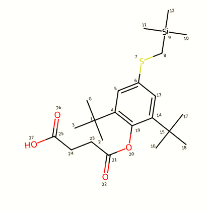 CC(C)(C)c1cc(SC[Si](C)(C)C)cc(C(C)(C)C)c1OC(=O)CCC(=O)O